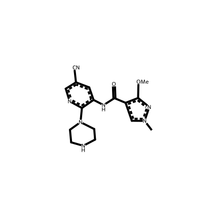 COc1nn(C)cc1C(=O)Nc1cc(C#N)cnc1N1CCNCC1